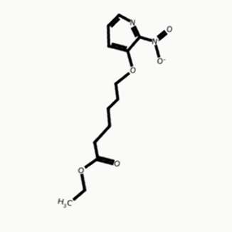 CCOC(=O)CCCCCOc1cccnc1[N+](=O)[O-]